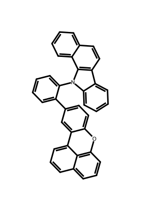 c1ccc(-n2c3ccccc3c3ccc4ccccc4c32)c(-c2ccc3c(c2)-c2cccc4cccc(c24)O3)c1